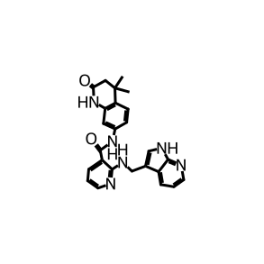 CC1(C)CC(=O)Nc2cc(NC(=O)c3cccnc3NCc3c[nH]c4ncccc34)ccc21